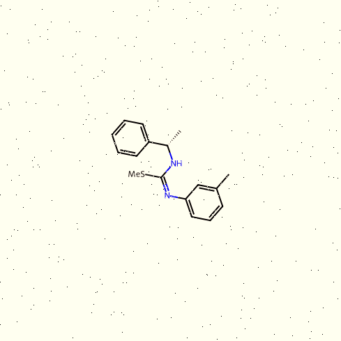 CSC(=Nc1cccc(C)c1)N[C@@H](C)c1ccccc1